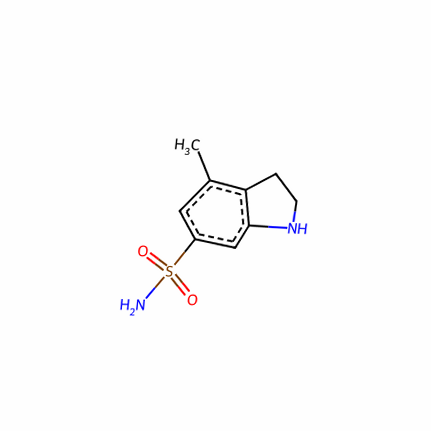 Cc1cc(S(N)(=O)=O)cc2c1CCN2